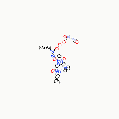 CCN(CC)c1ccc(NC(=O)c2cccc(C(=O)N(C)CCN(CCOC)CCOCCOCCOCCC(=O)N(C)CCN3CCOCC3)c2)c(-c2cc(C(=O)NCc3cccc(C(F)(F)F)c3)ccn2)c1